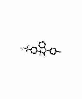 NS(=O)(=O)c1ccc(C2(O)C(=O)N(c3ccc(Br)cc3)c3ccccc32)cc1